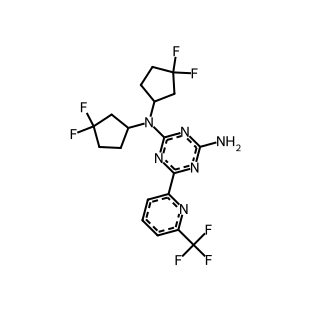 Nc1nc(-c2cccc(C(F)(F)F)n2)nc(N(C2CCC(F)(F)C2)C2CCC(F)(F)C2)n1